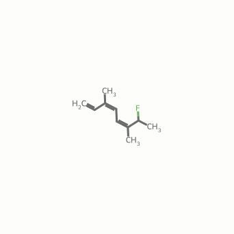 C=C/C(C)=C\C=C(\C)C(C)F